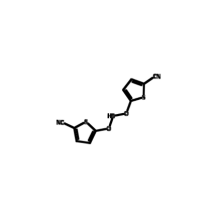 N#Cc1ccc(OBOc2ccc(C#N)s2)s1